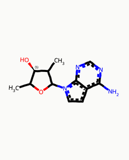 CC1OC(n2ccc3c(N)ncnc32)C(C)[C@@H]1O